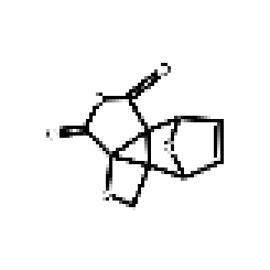 O=C1OC(=O)C23C4C=CC(O4)C24CSC143